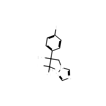 CC(C)(C)C(O)(Cn1cncn1)c1ccc(I)cc1